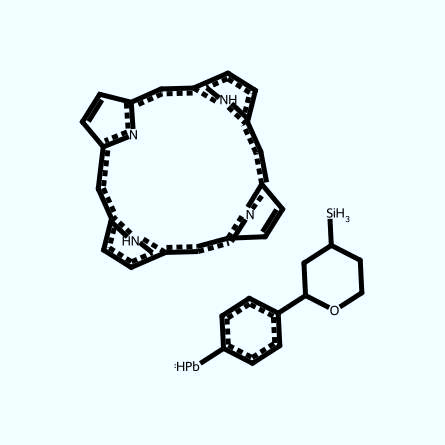 C1=Cc2cc3ccc(cc4nc(cc5ccc(cc1n2)[nH]5)C=C4)[nH]3.[SiH3]C1CCOC(c2cc[c]([PbH])cc2)C1